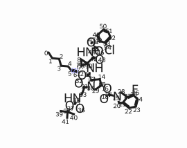 CCCCC/C=C\[C@@H]1C[C@]1(NC(=O)[C@@H]1C[C@@H](OC(=O)N2Cc3cccc(F)c3C2)CN1C(=O)CNC(=O)OC(C)(C)C)C(=O)NS(=O)(=O)c1ccccc1Cl